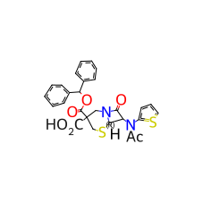 CC(=O)N(c1cccs1)C1C(=O)N2CC(C(=O)O)(C(=O)OC(c3ccccc3)c3ccccc3)CS[C@H]12